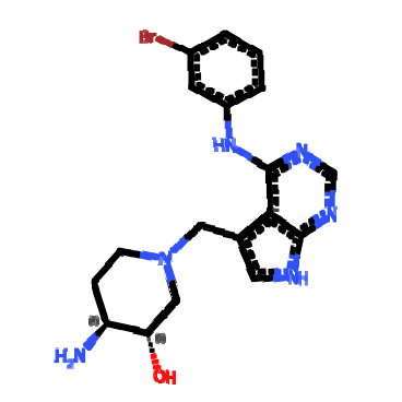 N[C@H]1CCN(Cc2c[nH]c3ncnc(Nc4cccc(Br)c4)c23)C[C@@H]1O